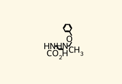 C[C@@H](COCc1ccccc1)N/C(=C\C=N)C(=O)O